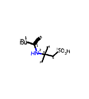 C=C(NC(C)(C)CS(=O)(=O)O)C(C)CC